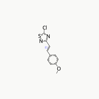 COc1ccc(/C=C/c2nsc(Cl)n2)cc1